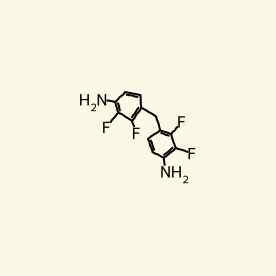 Nc1ccc(Cc2ccc(N)c(F)c2F)c(F)c1F